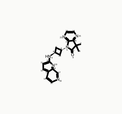 CC1(C)C(=O)N([C@H]2C[C@H](Nc3ccc4ccncc4n3)C2)c2nccnc21